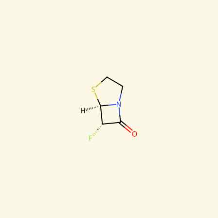 O=C1[C@H](F)[C@H]2SCCN12